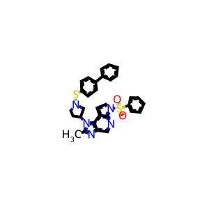 Cc1nc2cnc3c(ccn3S(=O)(=O)c3ccccc3)c2n1C1CCN(Sc2ccc(-c3ccccc3)cc2)C1